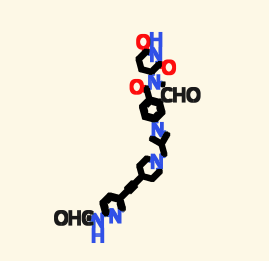 CN(C(=O)c1ccc(N2CC(CN3CCC(C#Cc4ccc(NC=O)nc4)CC3)C2)cc1C=O)C1CCC(=O)NC1=O